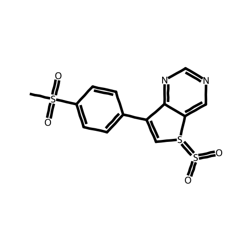 CS(=O)(=O)c1ccc(C2=CS(=S(=O)=O)c3cncnc32)cc1